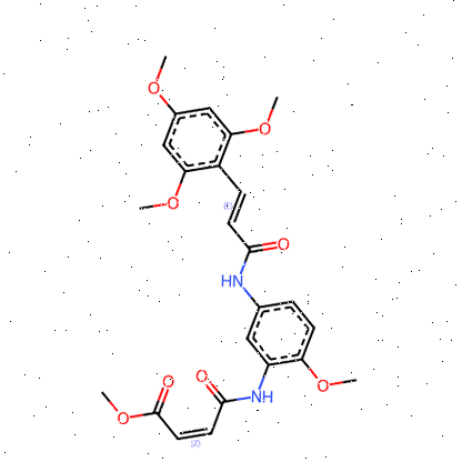 COC(=O)/C=C\C(=O)Nc1cc(NC(=O)/C=C/c2c(OC)cc(OC)cc2OC)ccc1OC